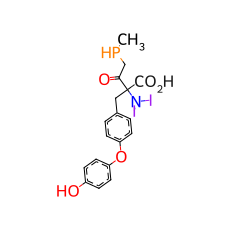 CPCC(=O)C(Cc1ccc(Oc2ccc(O)cc2)cc1)(C(=O)O)N(I)I